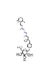 CC1=C(/C=C/C(C)=C/C=C/C(C)=C/C(=O)Cc2ccc(C[C@@H]3O[C@H](CO)[C@@H](O)[C@H](O)[C@H]3O)cc2)C(C)(C)CCC1